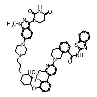 Cn1nc(N2CCC(=O)NC2=O)c2ccc(N3CCN(CCC[C@H]4CC[C@H](Oc5cccc(-c6ccc(N7CCc8cccc(C(=O)Nc9nc%10ccccc%10s9)c8C7)nc6C(=O)O)c5C(F)(F)F)CC4)CC3)cc21